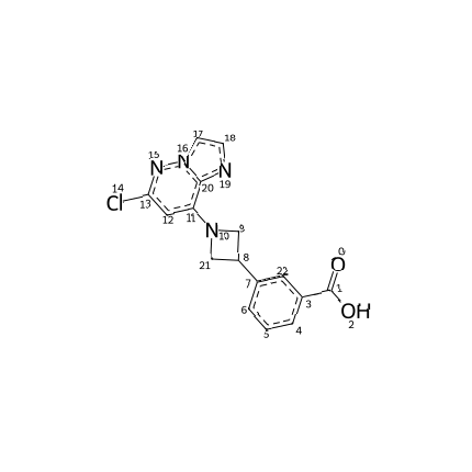 O=C(O)c1cccc(C2CN(c3cc(Cl)nn4ccnc34)C2)c1